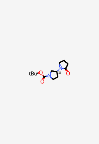 CC(C)(C)OC(=O)N1CC[C@H](N2CCCC2=O)C1